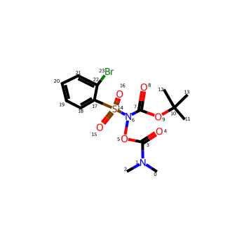 CN(C)C(=O)ON(C(=O)OC(C)(C)C)S(=O)(=O)c1ccccc1Br